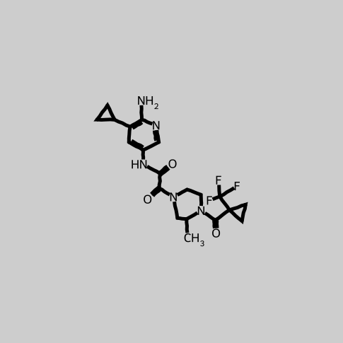 CC1CN(C(=O)C(=O)Nc2cnc(N)c(C3CC3)c2)CCN1C(=O)C1(C(F)(F)F)CC1